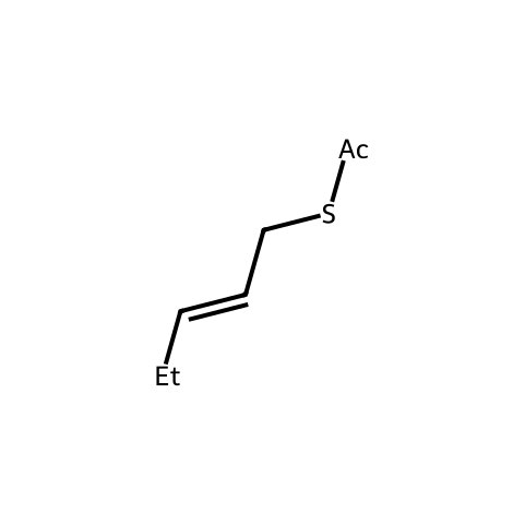 CC/C=C/CSC(C)=O